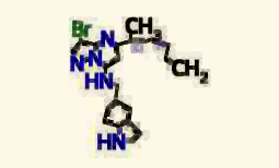 C=C/C=C\C=C(/C)c1cc(NCc2ccc3[nH]ccc3c2)n2ncc(Br)c2n1